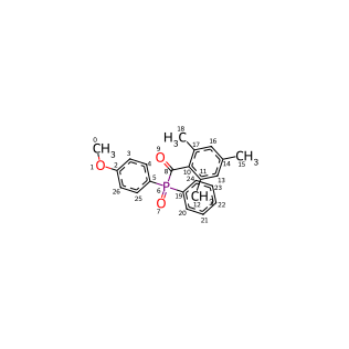 COc1ccc(P(=O)(C(=O)c2c(C)cc(C)cc2C)c2ccccc2)cc1